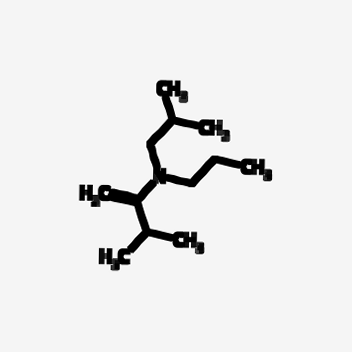 C=C(C(C)C)N(CCC)CC(C)C